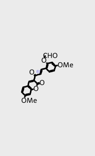 COc1ccc(/C=C/C(=O)c2cc3ccc(OC)cc3oc2=O)c(OC=O)c1